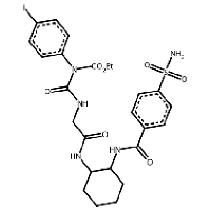 CCOC(=O)N(C(=O)NCC(=O)NC1CCCCC1NC(=O)c1ccc(S(N)(=O)=O)cc1)c1ccc(I)cc1